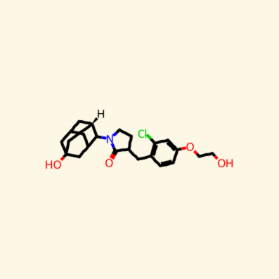 O=C1C(Cc2ccc(OCCO)cc2Cl)CCN1C1C2CC3C[C@H]1CC(O)(C3)C2